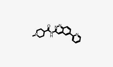 CN1CCC(C(=O)Nc2cc3cc(-c4ccccn4)ccc3nn2)CC1